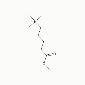 COC(=O)CCCC[N+](C)(C)C